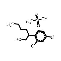 CCCCC(CO)c1ccc(Cl)cc1Cl.CS(=O)(=O)O